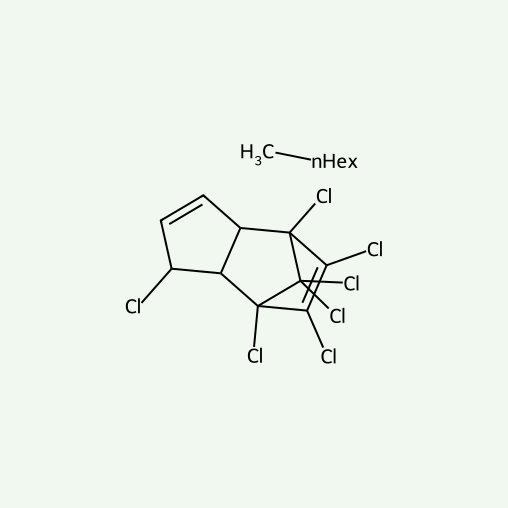 CCCCCCC.ClC1=C(Cl)C2(Cl)C3C(Cl)C=CC3C1(Cl)C2(Cl)Cl